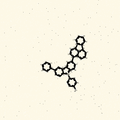 Fc1ccc(-n2c3ccc(-c4ccccc4)cc3c3cc(-c4ccc5c6c(cccc46)-c4ccccc4-5)ccc32)cc1